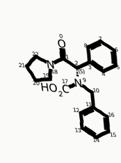 O=C([C@H](c1ccccc1)N(Cc1ccccc1)C(=O)O)N1CCCC1